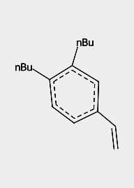 C=Cc1ccc(CCCC)c(CCCC)c1